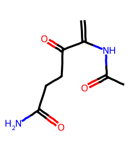 C=C(NC(C)=O)C(=O)CCC(N)=O